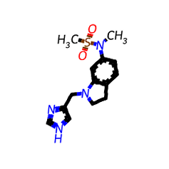 CN(c1ccc2c(c1)N(Cc1c[nH]cn1)CC2)S(C)(=O)=O